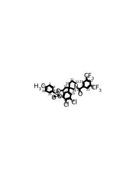 Cc1ccc(S(=O)(=O)OCCC2(c3ccc(Cl)c(Cl)c3)CCCN(C(=O)c3cc(C(F)(F)F)cc(C(F)(F)F)c3)C2)cc1